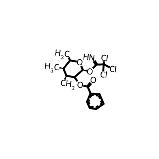 CC1O[C@@H](OC(=N)C(Cl)(Cl)Cl)C(OC(=O)c2ccccc2)[C@@H](C)[C@H]1C